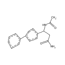 [CH2]C(=O)NC(CC(N)=O)c1ccc(-c2ccccc2)cc1